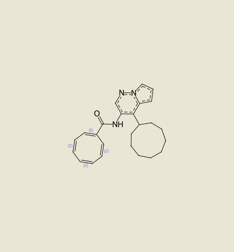 O=C(Nc1cnn2cccc2c1C1CCCCCCCC1)C1=C/C=C\C=C/C=C\1